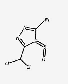 CC(C)C1=NN=C(C(Cl)Cl)S1=S=O